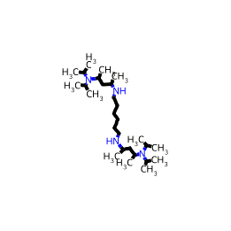 CC(CC(C)N(C(C)C)C(C)C)NCCCCCCNC(C)CC(C)N(C(C)C)C(C)C